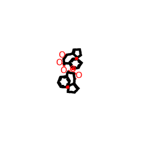 C1=C(C2OC23OC3(OC2(c3ccccc3)OC23OC3C2=CCCC2)c2ccccc2)CCC1